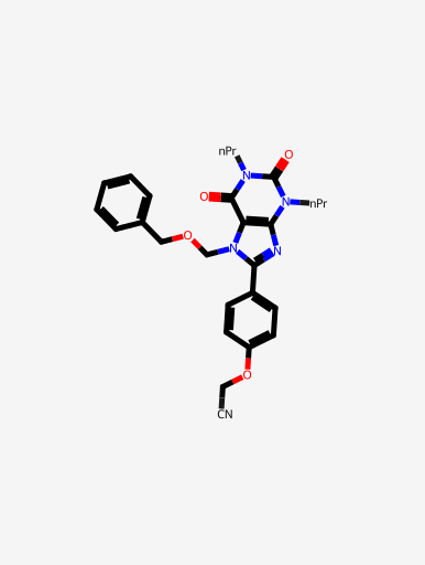 CCCn1c(=O)c2c(nc(-c3ccc(OCC#N)cc3)n2COCc2ccccc2)n(CCC)c1=O